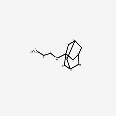 O=S(=O)(O)CCOC12CC3CC(CC(C3)C1)C2